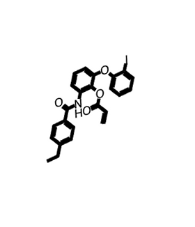 C=CC(=O)Oc1c(NC(=O)c2ccc(CC)cc2)cccc1Oc1ccccc1I